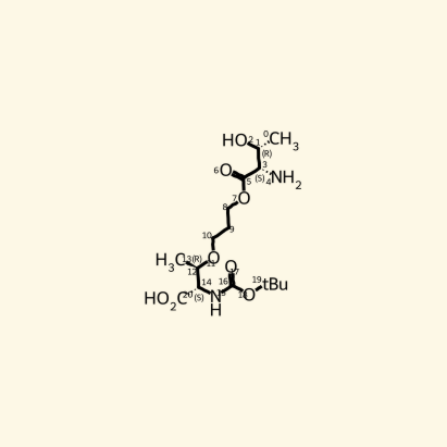 C[C@@H](O)[C@H](N)C(=O)OCCCO[C@H](C)[C@H](NC(=O)OC(C)(C)C)C(=O)O